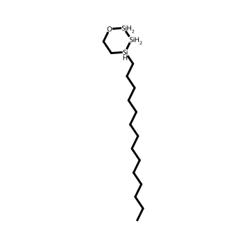 CCCCCCCCCCCCCC[SiH]1CCO[SiH2][SiH2]1